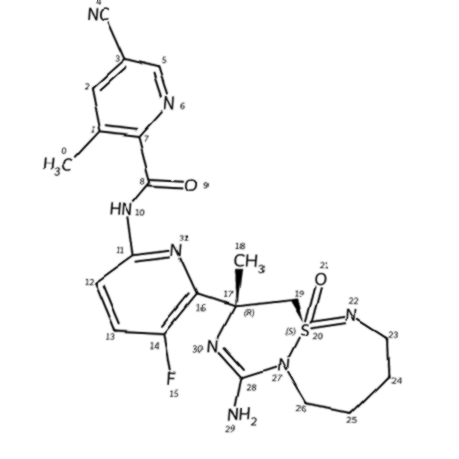 Cc1cc(C#N)cnc1C(=O)Nc1ccc(F)c([C@]2(C)C[S@@]3(=O)=NCCCCN3C(N)=N2)n1